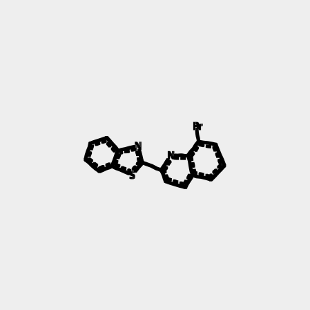 Brc1cccc2ccc(-c3nc4ccccc4s3)nc12